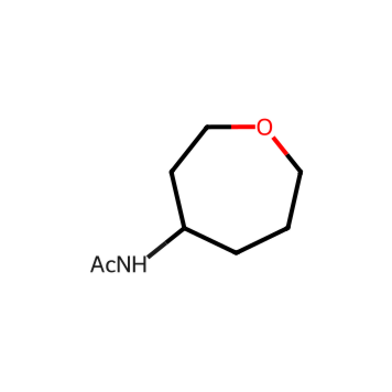 CC(=O)NC1CCCOCC1